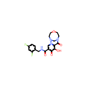 O=C(NCc1ccc(F)cc1F)c1cn2c(c(O)c1=O)C(=O)N1CCOCCN2C1